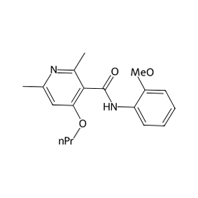 CCCOc1cc(C)nc(C)c1C(=O)Nc1ccccc1OC